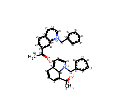 CC(=O)C1=CC=CC2=CC=CN(Cc3ccccc3)C21.CC(=O)c1ccc2ccc[n+](Cc3ccccc3)c2c1